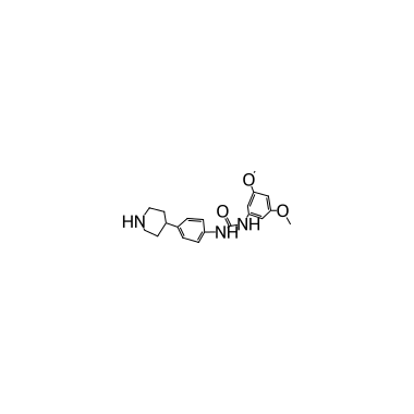 COc1cc(NC(=O)Nc2ccc(C3CCNCC3)cc2)cc(OC)c1